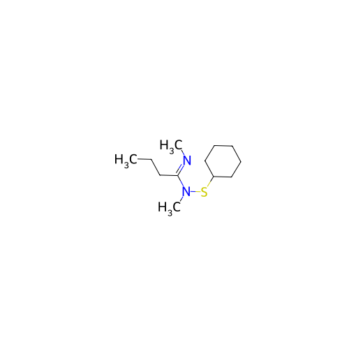 CCCC(=NC)N(C)SC1CCCCC1